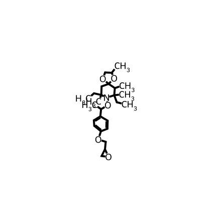 CCC1(C)CC2(OCC(C)O2)C(C)C(C)(CC)N1OC(C)c1ccc(OCC2CO2)cc1